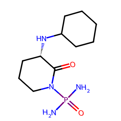 NP(N)(=O)N1CCC[C@H](NC2CCCCC2)C1=O